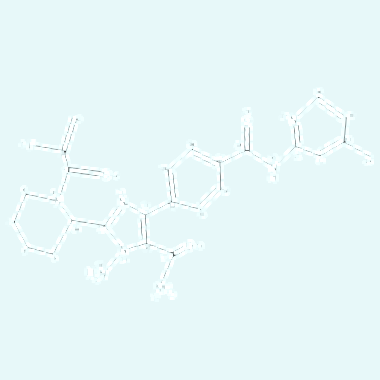 C=C(F)C(=O)N1CCCCC1c1nc(-c2ccc(C(=O)Nc3cc(C)ccn3)cc2)c(C(N)=O)n1N